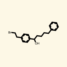 OC(CCCCc1ccccc1)c1ccc(CCBr)cc1